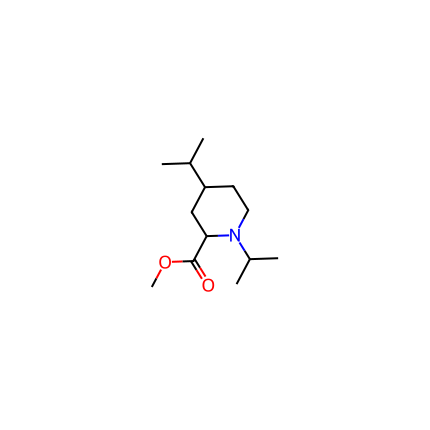 COC(=O)C1CC(C(C)C)CCN1C(C)C